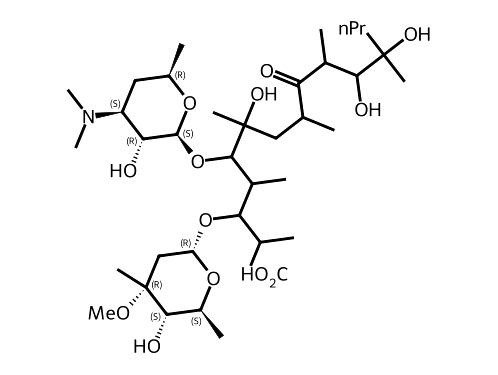 CCCC(C)(O)C(O)C(C)C(=O)C(C)CC(C)(O)C(O[C@@H]1O[C@H](C)C[C@H](N(C)C)[C@H]1O)C(C)C(O[C@H]1C[C@@](C)(OC)[C@@H](O)[C@H](C)O1)C(C)C(=O)O